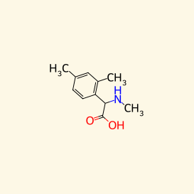 CNC(C(=O)O)c1ccc(C)cc1C